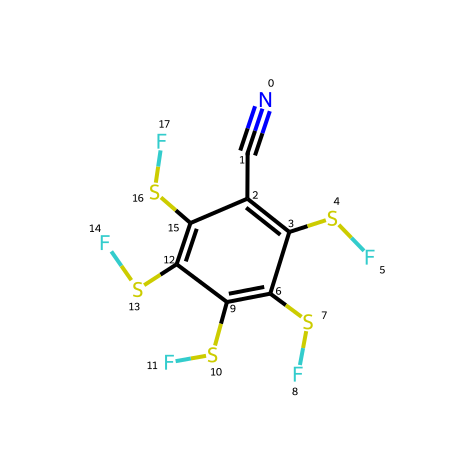 N#Cc1c(SF)c(SF)c(SF)c(SF)c1SF